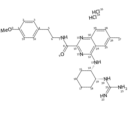 COc1ccc(CCNC(=O)c2nc(N[C@H]3CCCC[C@H]3NC(=N)N)c3cc(C)ccc3n2)cc1.Cl.Cl